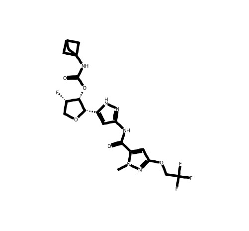 Cn1nc(OCC(F)(F)F)cc1C(=O)Nc1cc([C@@H]2OC[C@H](F)[C@@H]2OC(=O)NC23CC(C2)C3)[nH]n1